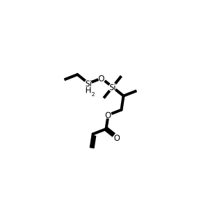 C=CC(=O)OCC(C)[Si](C)(C)O[SiH2]CC